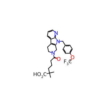 CC(C)(CCCC(=O)N1CCc2c(n(Cc3ccc(OC(F)(F)F)cc3)c3ncccc23)C1)C(=O)O